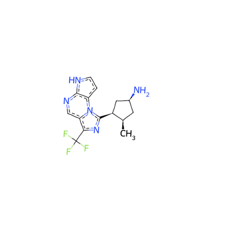 C[C@@H]1C[C@H](N)C[C@@H]1c1nc(C(F)(F)F)c2cnc3[nH]ccc3n12